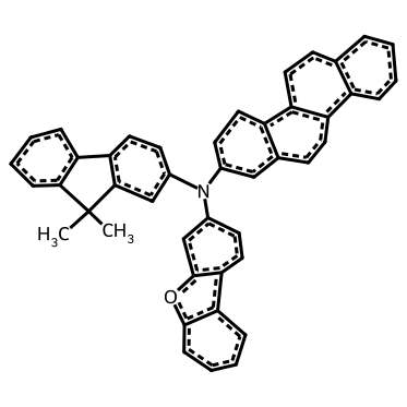 CC1(C)c2ccccc2-c2ccc(N(c3ccc4c(ccc5c6ccccc6ccc45)c3)c3ccc4c(c3)oc3ccccc34)cc21